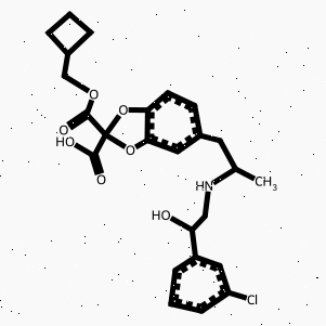 CC(Cc1ccc2c(c1)OC(C(=O)O)(C(=O)OCC1CCC1)O2)NCC(O)c1cccc(Cl)c1